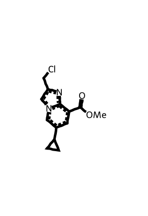 COC(=O)c1cc(C2CC2)cn2cc(CCl)nc12